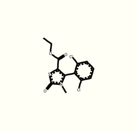 CCOC(=O)c1sc(=O)n(C)c1-c1c(Cl)cccc1Cl